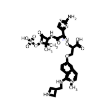 C[n+]1ccc2cc(OCC(O/N=C(\C(=O)NC3C(=O)N(OS(=O)(=O)O)C3(C)C)c3csc(N)n3)C(=O)O)ccc2c1NCC1CNC1